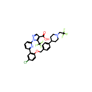 O=C(O)c1cnn(-c2cccc(-c3cc(Cl)ccc3OCc3ccc(C4CCN(CC(F)(F)F)CC4)cc3)n2)c1C(F)(F)F